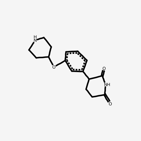 O=C1CCC(c2cccc(OC3CCNCC3)c2)C(=O)N1